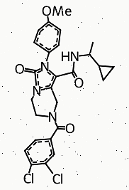 COc1ccc(-n2c(C(=O)NC(C)C3CC3)c3n(c2=O)CCN(C(=O)c2ccc(Cl)c(Cl)c2)C3)cc1